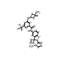 Cn1cnnc1[C@@H](F)C1(c2cccc(NC(=O)c3cc(CN4CC(C)(F)C4)cc(C(F)(F)F)n3)c2)COC1